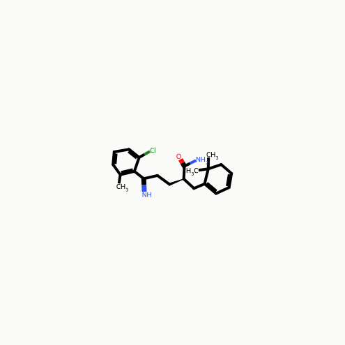 Cc1cccc(Cl)c1C(=N)CC[C@H](CC1=CC=CCC1(C)C)C(N)=O